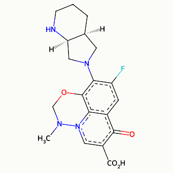 CN1COc2c(N3C[C@@H]4CCCN[C@@H]4C3)c(F)cc3c(=O)c(C(=O)O)cn1c23